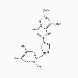 COc1cc(OC)c(NC(=O)c2ccc(Oc3cc(C(C)C)c(Br)cc3C)o2)c(OC)c1